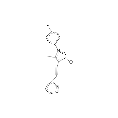 COc1nn(-c2ccc(F)cc2)c(C)c1C#Cc1ccccn1